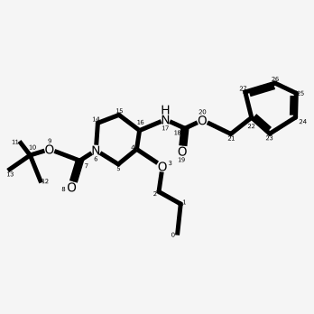 CCCOC1CN(C(=O)OC(C)(C)C)CCC1NC(=O)OCc1ccccc1